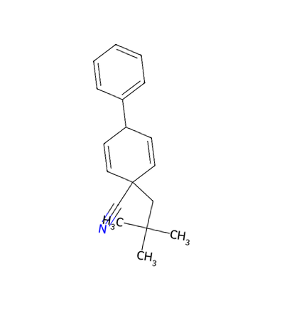 CC(C)(C)CC1(C#N)C=CC(c2ccccc2)C=C1